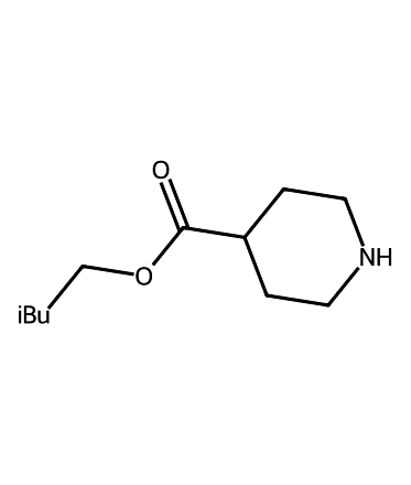 CCC(C)COC(=O)C1CCNCC1